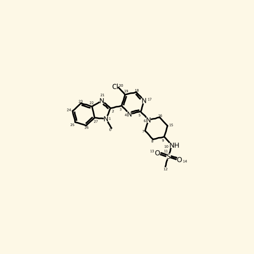 Cn1c(-c2nc(N3CCC(NS(C)(=O)=O)CC3)ncc2Cl)nc2ccccc21